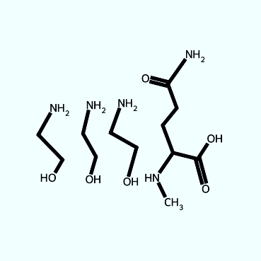 CNC(CCC(N)=O)C(=O)O.NCCO.NCCO.NCCO